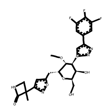 CO[C@@H]1[C@@H](n2cc(-c3cc(F)c(F)c(F)c3)nn2)[C@@H](O)[C@@H](CO)O[C@@H]1Cc1cc(C2(C)CNC2=O)no1